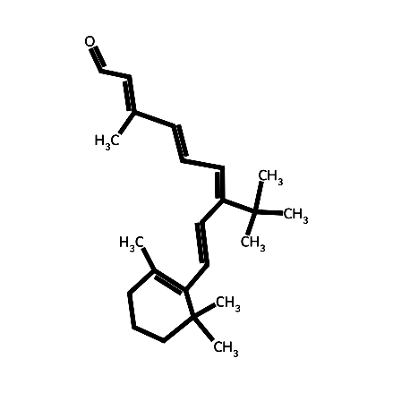 CC1=C(/C=C/C(=C\C=C\C(C)=C\C=O)C(C)(C)C)C(C)(C)CCC1